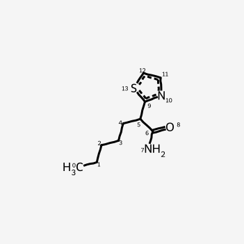 CCCCCC(C(N)=O)c1nccs1